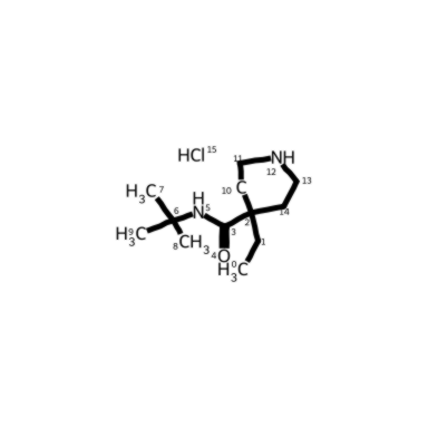 CCC1(C(=O)NC(C)(C)C)CCNCC1.Cl